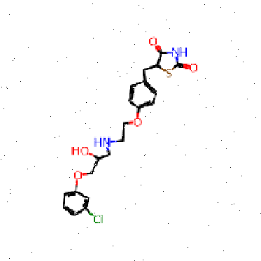 O=C1NC(=O)C(Cc2ccc(OCCNCC(O)COc3cccc(Cl)c3)cc2)S1